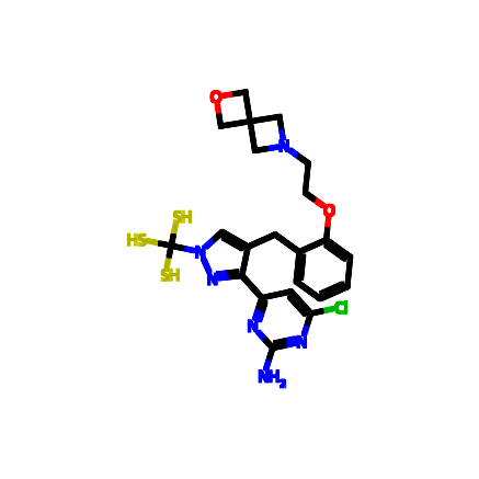 Nc1nc(Cl)cc(-c2nn(C(S)(S)S)cc2Cc2ccccc2OCCN2CC3(COC3)C2)n1